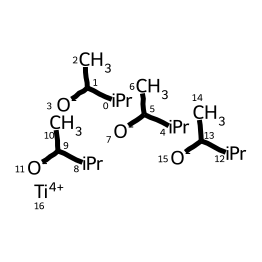 CC(C)C(C)[O-].CC(C)C(C)[O-].CC(C)C(C)[O-].CC(C)C(C)[O-].[Ti+4]